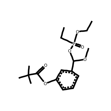 CCOP(=O)(CC)OC(OC)c1cccc(OC(=O)C(C)(C)C)c1